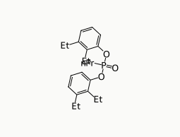 CCCP(=O)(Oc1cccc(CC)c1CC)Oc1cccc(CC)c1CC